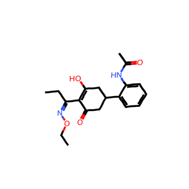 CCO/N=C(/CC)C1=C(O)CC(c2ccccc2NC(C)=O)CC1=O